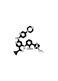 COc1c(Nc2cc(Nc3ccc(N4CCOCC4)cn3)ncc2C(=O)C2CC2)cccc1-c1ncn(C)n1